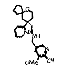 COc1cc(CNCC[C@@]2(C3=CC=CCN3)CCOC3(CCCC3)C2)cnc1C#N